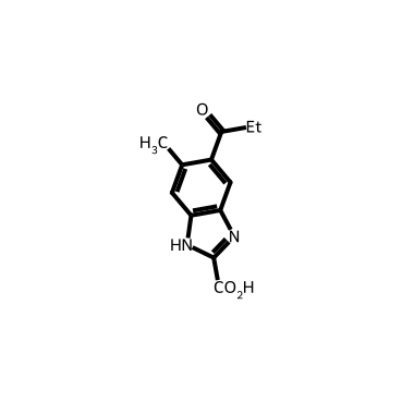 CCC(=O)c1cc2nc(C(=O)O)[nH]c2cc1C